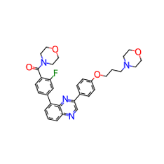 O=C(c1ccc(-c2cccc3ncc(-c4ccc(OCCCN5CCOCC5)cc4)nc23)cc1F)N1CCOCC1